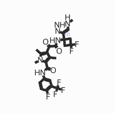 CN/C=C(\N=N)C1(NC(=O)C(=O)c2c(C)c(C(=O)Nc3ccc(F)c(C(F)(F)F)c3)n(C)c2C)CC(F)(F)C1